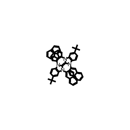 CC(C)(C)c1ccc2c(c1)N(c1ccc3ccccc3c1)/C(=C1\N(c3ccc4ccccc4c3)c3ccc(C(C)(C)C)cc3N1c1ccc3ccccc3c1)N2c1ccc2ccccc2c1